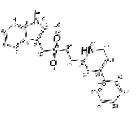 Cc1[nH]c2ccccc2c1CS(=O)(=O)CCC1CC(c2ccccc2)=CCN1